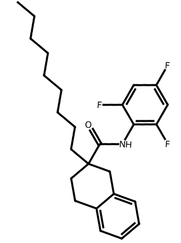 CCCCCCCCCC1(C(=O)Nc2c(F)cc(F)cc2F)CCc2ccccc2C1